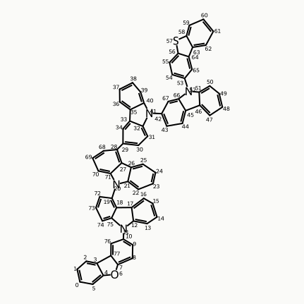 c1ccc2c(c1)oc1ccc(-n3c4ccccc4c4c(-n5c6ccccc6c6c(-c7ccc8c(c7)c7ccccc7n8-c7ccc8c9ccccc9n(-c9ccc%10sc%11ccccc%11c%10c9)c8c7)cccc65)cccc43)cc12